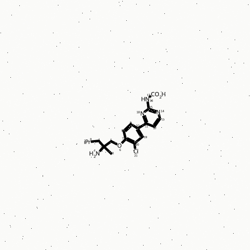 CC(C)CC(C)(N)COc1ccc(-c2ccnc(NC(=O)O)n2)cc1Cl